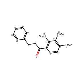 COc1ccc(C(=O)CCc2ccccc2)c(OC)c1OC